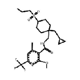 CCCS(=O)(=O)C1CCC(CNC(=O)c2c(C)cc(C(F)(F)F)nc2OC)(CC2CC2)CC1